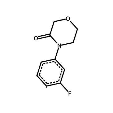 O=C1COCCN1c1cc[c]c(F)c1